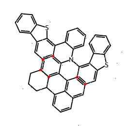 c1ccc(N(c2ccccc2-c2cccc3cccc(C4CCCCC4)c23)c2cccc3sc4ccccc4c23)c(-c2cccc3c2sc2ccccc23)c1